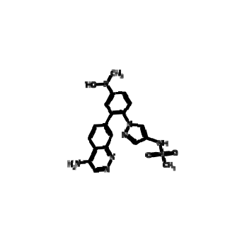 CB(O)c1ccc(-n2cc(NS(C)(=O)=O)cn2)c(-c2ccc3c(N)cnnc3c2)c1